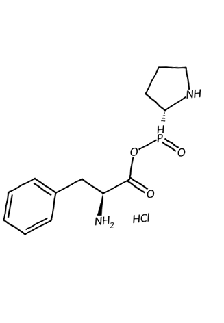 Cl.N[C@@H](Cc1ccccc1)C(=O)O[PH](=O)[C@@H]1CCCN1